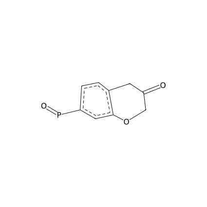 O=Pc1ccc2c(c1)OCC(=O)C2